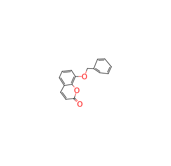 O=c1ccc2cccc(OCc3ccccc3)c2o1